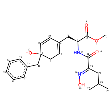 COC(=O)[C@H](CC1=CCC(O)(Cc2ccccc2)C=C1)NC(=O)C(CC(C)C)=NO